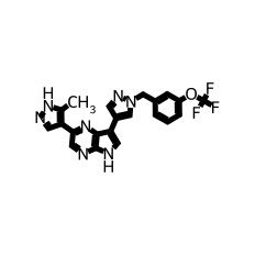 Cc1[nH]ncc1-c1cnc2[nH]cc(-c3cnn(Cc4cccc(OC(F)(F)F)c4)c3)c2n1